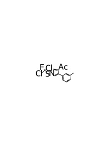 CC(=O)c1cn(SC(F)(Cl)Cl)cc1-c1cccc(C)c1